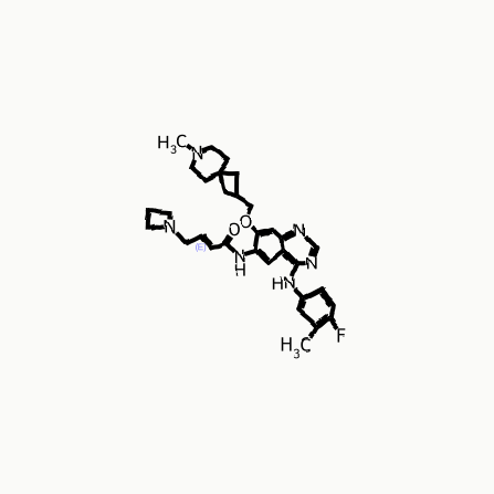 Cc1cc(Nc2ncnc3cc(OCC4CC5(CCN(C)CC5)C4)c(NC(=O)/C=C/CN4CCC4)cc23)ccc1F